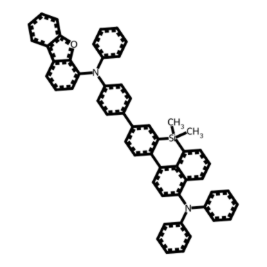 C[Si]1(C)c2cc(-c3ccc(N(c4ccccc4)c4cccc5c4oc4ccccc45)cc3)ccc2-c2ccc(N(c3ccccc3)c3ccccc3)c3cccc1c23